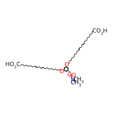 CN(C)CC(=O)OCc1cc(OCCCCCCCCC=CCC=CCCCCCCCC(=O)O)cc(OCCCCCCCCC=CCC=CCCCCCCCC(=O)O)c1